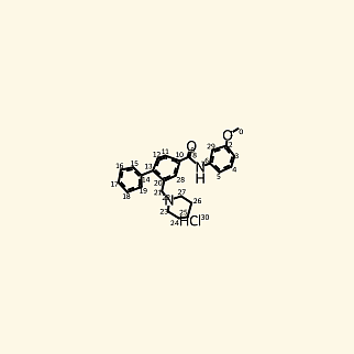 COc1cccc(NC(=O)c2ccc(-c3ccccc3)c(CN3CCCCC3)c2)c1.Cl